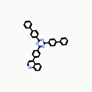 c1ccc(-c2ccc(-c3nc(-c4ccc(-c5ccccc5)cc4)nc(-c4ccc(-c5ccnc6ccccc56)cc4)n3)cc2)cc1